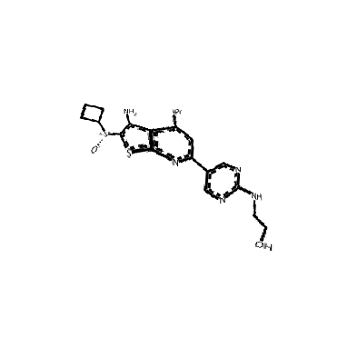 CC(C)c1cc(-c2cnc(NCCO)nc2)nc2sc([S@+]([O-])C3CCC3)c(N)c12